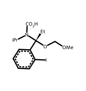 CC[C@@](OCOC)(c1ccccc1I)N(C(=O)O)C(C)C